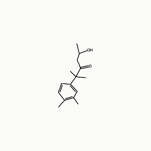 Cc1ccc(C(C)(C)C(=O)CC(C)O)cc1C